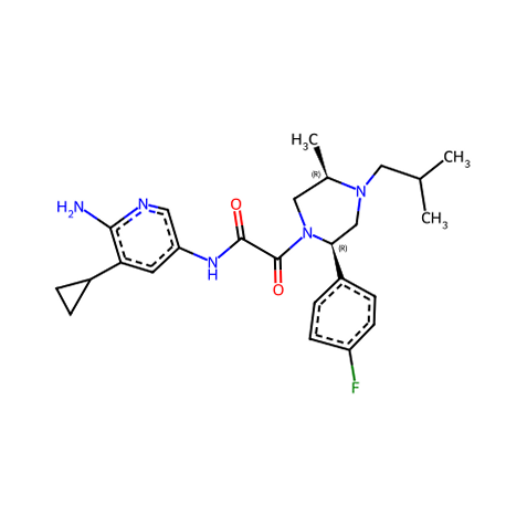 CC(C)CN1C[C@@H](c2ccc(F)cc2)N(C(=O)C(=O)Nc2cnc(N)c(C3CC3)c2)C[C@H]1C